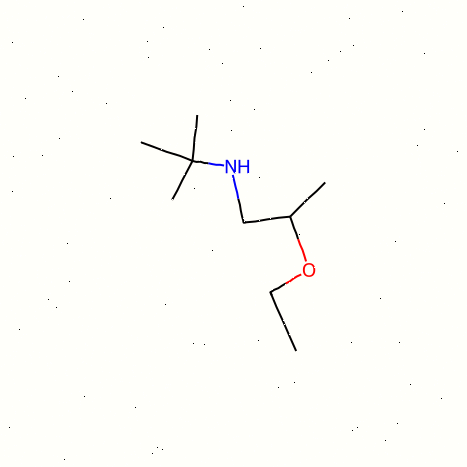 CCOC(C)CNC(C)(C)C